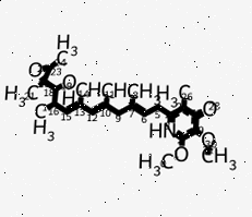 COc1[nH]c(C/C=C(\C)C/C(C)=C/C(C)=C/C(C)C(O)C2(C)OC2C)c(C)c(=O)c1OC